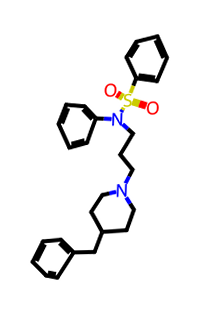 O=S(=O)(c1ccccc1)N(CCCN1CCC(Cc2ccccc2)CC1)c1ccccc1